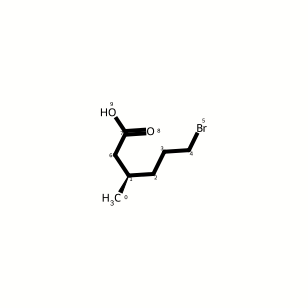 C[C@H](CCCBr)CC(=O)O